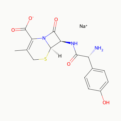 CC1=C(C(=O)[O-])N2C(=O)[C@@H](NC(=O)[C@H](N)c3ccc(O)cc3)[C@H]2SC1.[Na+]